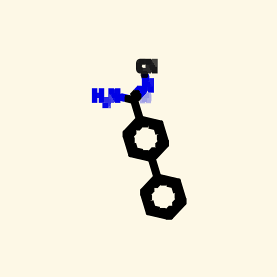 N#C/N=C(\N)c1ccc(-c2ccccc2)cc1